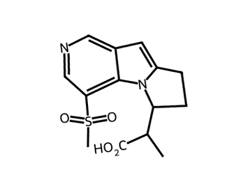 CC(C(=O)O)C1CCc2cc3cncc(S(C)(=O)=O)c3n21